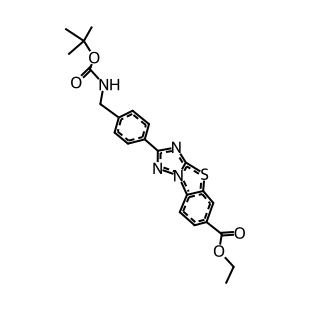 CCOC(=O)c1ccc2c(c1)sc1nc(-c3ccc(CNC(=O)OC(C)(C)C)cc3)nn12